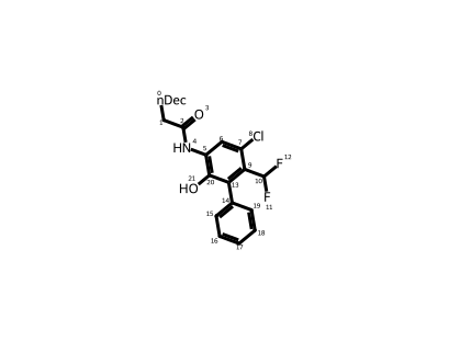 CCCCCCCCCCCC(=O)Nc1cc(Cl)c(C(F)F)c(-c2ccccc2)c1O